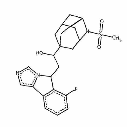 CS(=O)(=O)N1C2CC3CC1CC(C(O)CC1c4c(F)cccc4-c4cncn41)(C3)C2